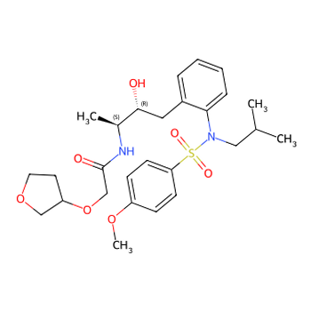 COc1ccc(S(=O)(=O)N(CC(C)C)c2ccccc2C[C@@H](O)[C@H](C)NC(=O)COC2CCOC2)cc1